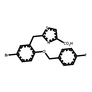 O=C(O)c1csc(Cc2cc(Br)ccc2OCc2ccc(F)cc2)n1